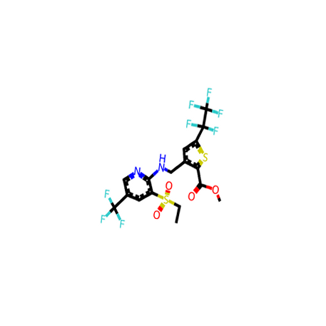 CCS(=O)(=O)c1cc(C(F)(F)F)cnc1NCc1cc(C(F)(F)C(F)(F)F)sc1C(=O)OC